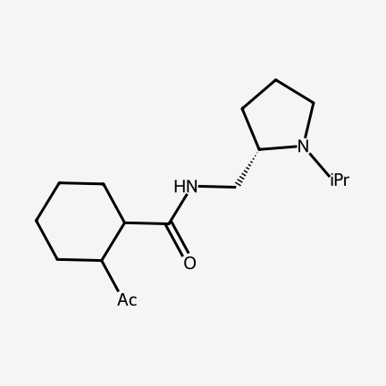 CC(=O)C1CCCCC1C(=O)NC[C@@H]1CCCN1C(C)C